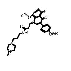 CCCOc1ccc(F)c2c(=O)c(-c3ccc(OC)cc3)cn(CCC(=O)NCCCN3CCN(C)CC3)c12